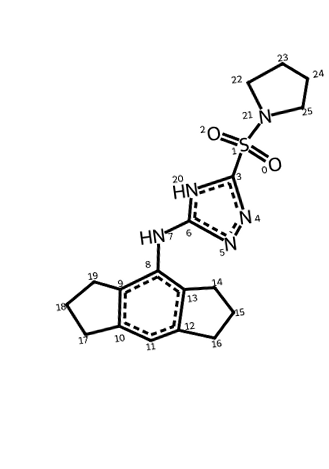 O=S(=O)(c1nnc(Nc2c3c(cc4c2CCC4)CCC3)[nH]1)N1CCCC1